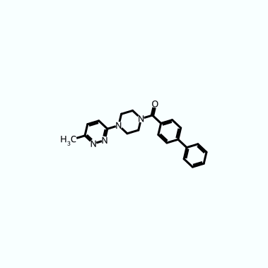 Cc1ccc(N2CCN(C(=O)c3ccc(-c4ccccc4)cc3)CC2)nn1